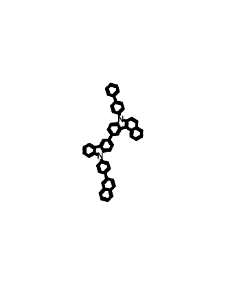 c1ccc(-c2ccc(-n3c4ccc(-c5ccc6c(c5)c5ccccc5n6-c5ccc(-c6ccc7ccccc7c6)cc5)cc4c4c5ccccc5ccc43)cc2)cc1